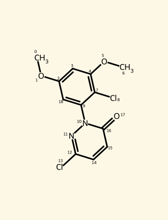 COc1cc(OC)c(Cl)c(-n2nc(Cl)ccc2=O)c1